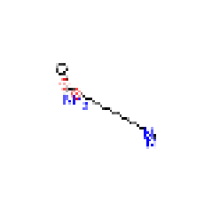 NCC(COCCCCCCCCCCCCCCCn1ccnc1)OCc1ccccc1